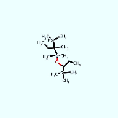 CCC(O[Si](C)(C)C(C)(CC)[SiH](C)C)[Si](C)(C)C